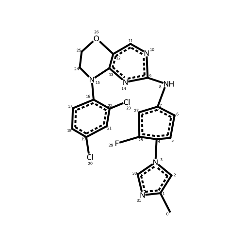 Cc1cn(-c2ccc(Nc3ncc4c(n3)N(c3ccc(Cl)cc3Cl)CCO4)cc2F)cn1